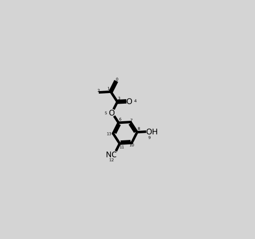 C=C(C)C(=O)Oc1cc(O)cc(C#N)c1